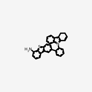 Nc1cccc2c1sc1ccc(-c3ccccc3-n3c4c(c5ccccc53)CCC=C4)cc12